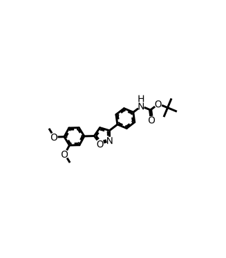 COc1ccc(-c2cc(-c3ccc(NC(=O)OC(C)(C)C)cc3)no2)cc1OC